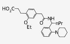 CCCC(NC(=O)Cc1ccc(CCC(=O)O)c(OCC)c1)c1ccccc1N1CCCCC1